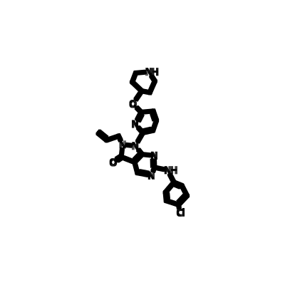 C=CCn1c(=O)c2cnc(Nc3ccc(Cl)cc3)nc2n1-c1cccc(OC2CCNCC2)n1